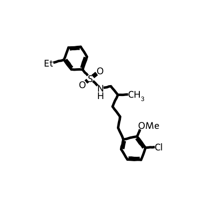 CCc1cccc(S(=O)(=O)NCC(C)CCCc2cccc(Cl)c2OC)c1